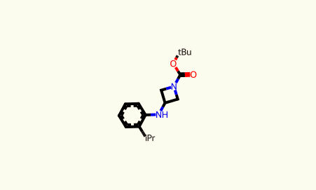 CC(C)c1ccccc1NC1CN(C(=O)OC(C)(C)C)C1